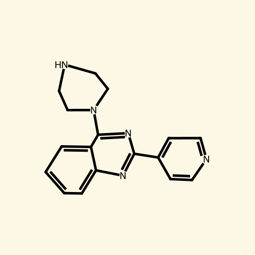 c1ccc2c(N3CCNCC3)nc(-c3ccncc3)nc2c1